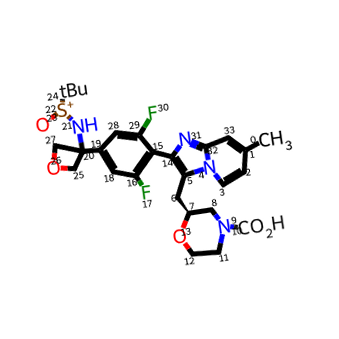 Cc1ccn2c(C[C@H]3CN(C(=O)O)CCO3)c(-c3c(F)cc(C4(N[S+]([O-])C(C)(C)C)COC4)cc3F)nc2c1